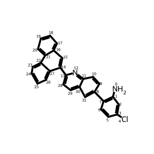 Nc1cc(Cl)ccc1-c1ccc2nc(-c3cc4ccccc4c4ccccc34)ccc2c1